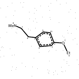 CCOc1ccc(CCNC)cc1